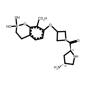 N[C@H]1CN[C@H](C(=O)N2CC(Oc3ccc4c(c3C(=O)O)O[B-](O)(O)CC4)C2)C1